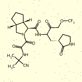 CC(C)(C#N)NC(=O)C(=O)N1C[C@@H]2CCC[C@@H]2[C@H]1C(=O)NC(C[C@@H]1CCNC1=O)C(=O)COC(F)(F)F